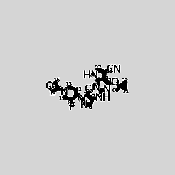 CC1(Oc2nc(Nc3cnn([C@H]4CCN(C5COC5)C[C@@H]4F)c3Cl)nc3[nH]cc(C#N)c23)CC1